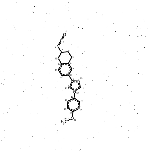 O=C=NC1CCc2cc(-c3ncn(-c4ccc(OC(F)(F)F)cc4)n3)ccc2C1